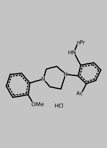 CCCNc1cccc(C(C)=O)c1N1CCN(c2ccccc2OC)CC1.Cl